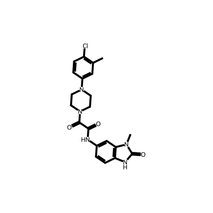 Cc1cc(N2CCN(C(=O)C(=O)Nc3ccc4[nH]c(=O)n(C)c4c3)CC2)ccc1Cl